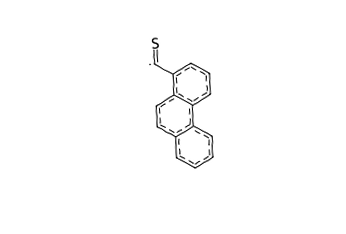 S=[C]c1cccc2c1ccc1ccccc12